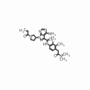 C=CC(=O)N1CCC(n2nc(C(=O)Nc3ccc(CC(=O)N(C)C)c(C)c3C)c3c(N)ncnc32)C1